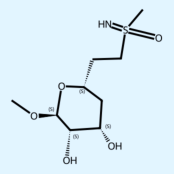 CO[C@H]1O[C@H](CCS(C)(=N)=O)C[C@H](O)[C@@H]1O